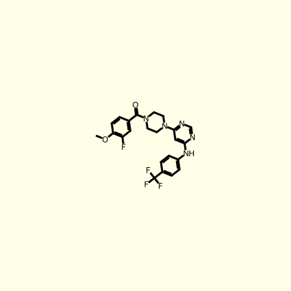 COc1ccc(C(=O)N2CCN(c3cc(Nc4ccc(C(F)(F)F)cc4)ncn3)CC2)cc1F